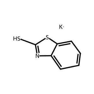 Sc1nc2ccccc2s1.[K]